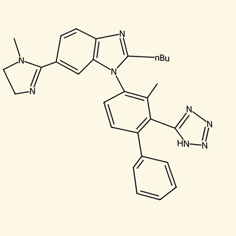 CCCCc1nc2ccc(C3=NCCN3C)cc2n1-c1ccc(-c2ccccc2)c(-c2nnn[nH]2)c1C